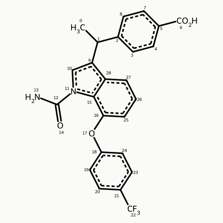 CC(c1ccc(C(=O)O)cc1)c1cn(C(N)=O)c2c(Oc3ccc(C(F)(F)F)cc3)cccc12